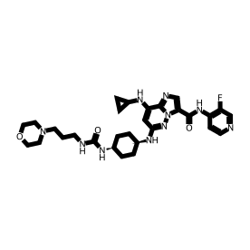 O=C(NCCCN1CCOCC1)N[C@H]1CC[C@H](Nc2cc(NC3CC3)c3ncc(C(=O)Nc4ccncc4F)n3n2)CC1